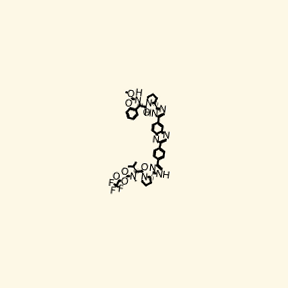 COC(=O)N[C@@H](C(=O)N1CCC[C@H]1c1ncc(-c2ccc3nc(-c4ccc(-c5c[nH]c([C@@H]6CCCN6C(=O)[C@H](C(C)C)N(C)C(=O)OC(=O)C(F)(F)F)n5)cc4)cnc3c2)[nH]1)c1ccccc1